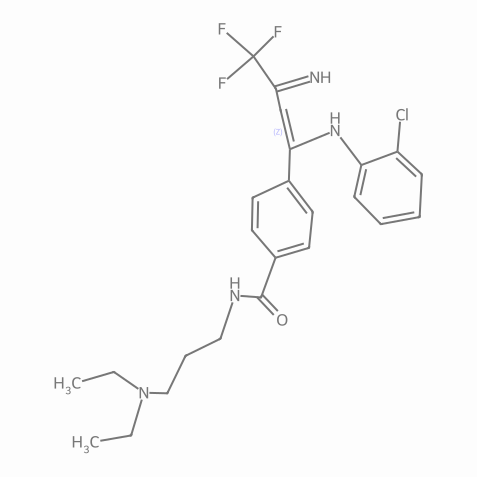 CCN(CC)CCCNC(=O)c1ccc(/C(=C/C(=N)C(F)(F)F)Nc2ccccc2Cl)cc1